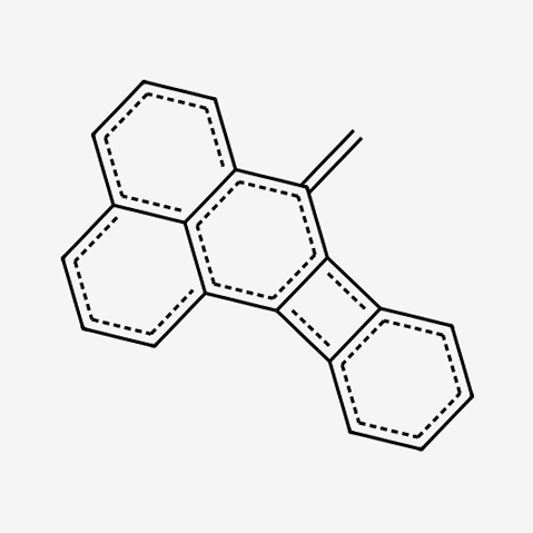 C=c1c2cccc3cccc(c32)c2c3ccccc3c12